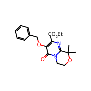 CCOC(=O)c1nc2n(c(=O)c1OCc1ccccc1)CCOC2(C)C